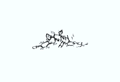 CC(C)Oc1ccc(NC2NC(=O)CC(=O)N2Cc2ccc(Cl)cc2)cc1